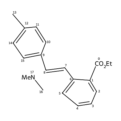 CCOC(=O)c1ccccc1C=Cc1ccc(C)cc1.CNC